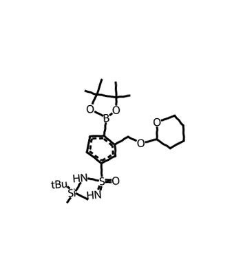 CC1(C)OB(c2ccc(S(=N)(=O)N[Si](C)(C)C(C)(C)C)cc2COC2CCCCO2)OC1(C)C